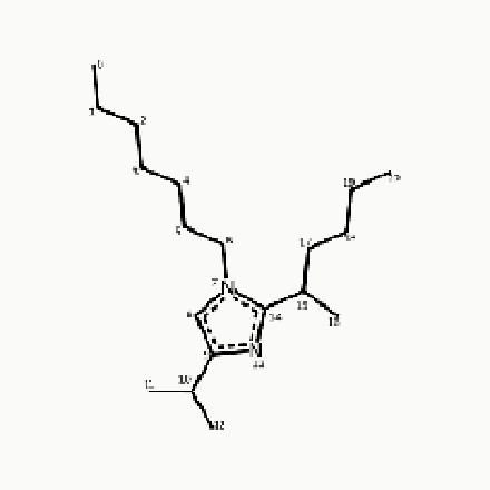 CCCCCCCn1cc(C(C)C)nc1C(C)CCCC